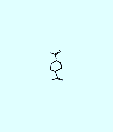 CC(=O)C1CCN(C(=O)I)CC1